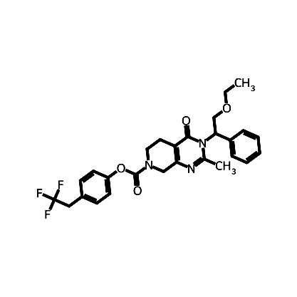 CCOCC(c1ccccc1)n1c(C)nc2c(c1=O)CCN(C(=O)Oc1ccc(CC(F)(F)F)cc1)C2